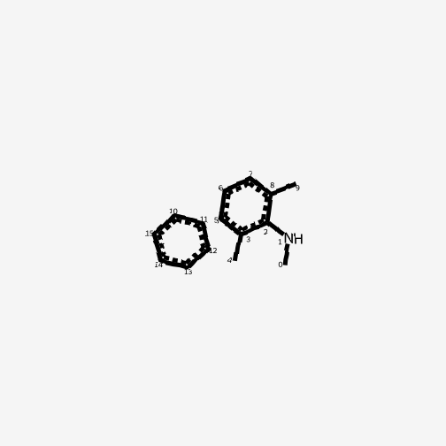 CNc1c(C)cccc1C.c1ccccc1